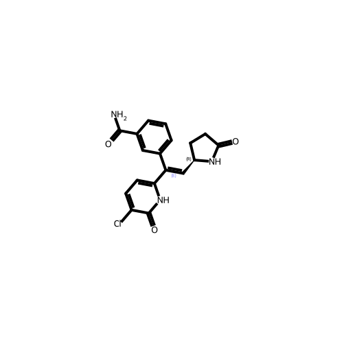 NC(=O)c1cccc(/C(=C\[C@H]2CCC(=O)N2)c2ccc(Cl)c(=O)[nH]2)c1